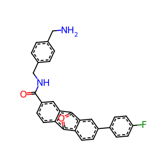 NCc1ccc(CNC(=O)c2ccc3c(c2)c2oc3c3ccc(-c4ccc(F)cc4)cc32)cc1